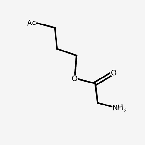 CC(=O)CCCOC(=O)CN